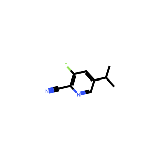 CC(C)c1cnc(C#N)c(F)c1